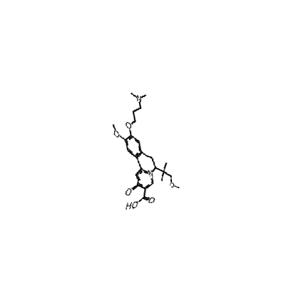 COCC(C)(C)C1Cc2cc(OCCCN(C)C)c(OC)cc2-c2cc(=O)c(C(=O)O)cn21